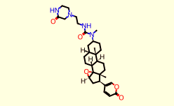 CN(C(=O)NCCN1CCNC(=O)C1)[C@H]1CC[C@@]2(C)[C@H](CC[C@@H]3[C@@H]2CC[C@]2(C)[C@@H](c4ccc(=O)oc4)C[C@H]4O[C@]342)C1